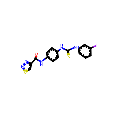 O=C(Nc1ccc(NC(=S)Nc2cccc(I)c2)cc1)c1csnn1